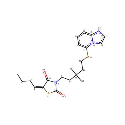 CCCC=C1SC(=O)N(CCC(C)(C)CCSc2cccc3nccn23)C1=O